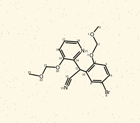 COCOc1ccc(Br)cc1C(C#N)c1ncccc1OCOC